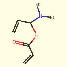 C=CC(=O)OC(C=C)N(CC)CC